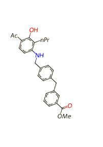 CCCc1c(NCc2ccc(Cc3cccc(C(=O)OC)c3)cc2)ccc(C(C)=O)c1O